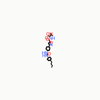 CCCCc1ccc(NC(=O)Nc2ccc(-c3cc(C(=O)NC(C(=O)O)C(C)C)on3)cc2)cc1